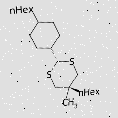 CCCCCCC1CCC([C@H]2SC[C@](C)(CCCCCC)CS2)CC1